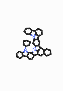 c1ccc(-n2c3ccccc3c3ccc4c5cc6ccccc6c6c7cc8c9cccc%10c%11ccccc%11n(c8cc7n(c56)c4c32)c%109)cc1